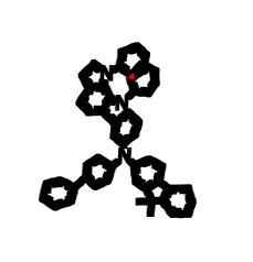 CC1(C)c2ccccc2-c2ccc(N(c3ccc(-c4ccccc4)cc3)c3ccc4c(c3)c3ccc5ccn(-c6ccccc6)c5c3n4-c3ccccc3)cc21